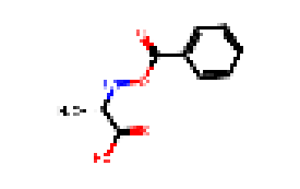 C[C@H](NOC(=O)c1ccccc1)C(=O)O